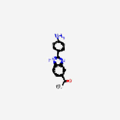 CC(C)(C)C(=O)c1ccc2[nH]c(-c3ccc(N)cc3)nc2c1